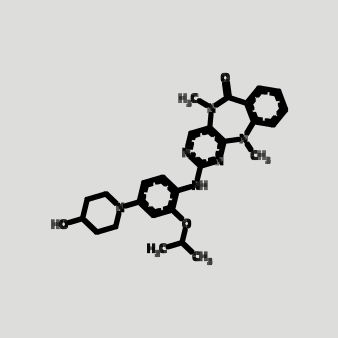 CC(C)Oc1cc(N2CCC(O)CC2)ccc1Nc1ncc2c(n1)N(C)c1ccccc1C(=O)N2C